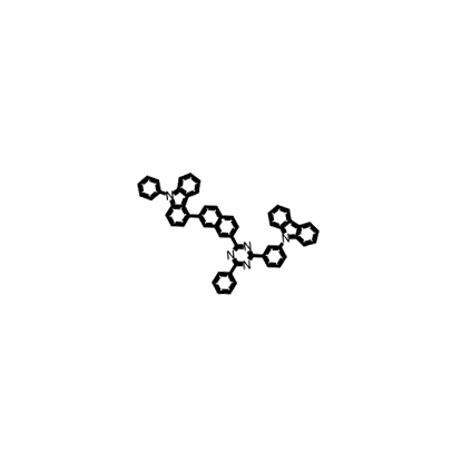 c1ccc(-c2nc(-c3cccc(-n4c5ccccc5c5ccccc54)c3)nc(-c3ccc4ccc(-c5cccc6c5c5ccccc5n6-c5ccccc5)cc4c3)n2)cc1